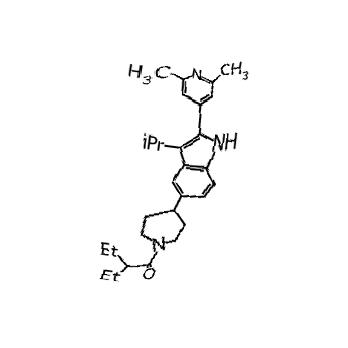 CCC(CC)C(=O)N1CCC(c2ccc3[nH]c(-c4cc(C)nc(C)c4)c(C(C)C)c3c2)CC1